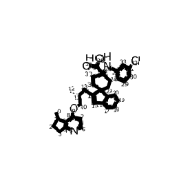 CC1CCc2nccc(OC[C@H](C)CC3=Cc4ccccc4C34CCC(Nc3cccc(Cl)c3)(C(=O)O)CC4)c21